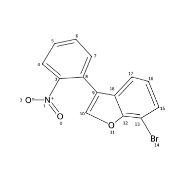 O=[N+]([O-])c1ccccc1-c1coc2c(Br)cccc12